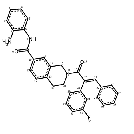 Nc1ccccc1NC(=O)c1ccc2c(c1)CN(C(=O)C(=Cc1ccccc1)c1cccc(F)c1)CC2